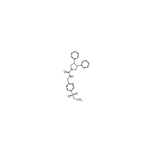 CCS(=O)(=O)c1ccc(CNC(=O)N2CC(c3ccccc3)C(c3ccccc3)C2)nc1